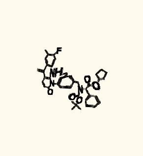 C=C(c1ccc(F)c(C)c1)c1ccc(=O)n(-c2ccc(CN(C(=O)OC(C)(C)C)[C@H](C(=O)OC3CCCC3)c3ccccc3)cc2)c1N